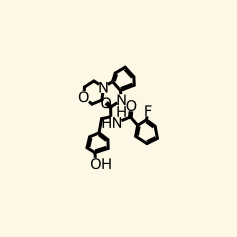 O=C(NC(Cc1ccc(O)cc1)C(=O)Nc1ccccc1N1CCOCC1)c1ccccc1F